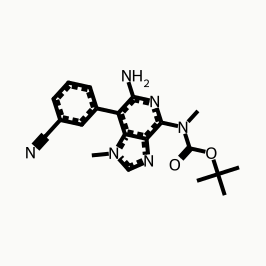 CN(C(=O)OC(C)(C)C)c1nc(N)c(-c2cccc(C#N)c2)c2c1ncn2C